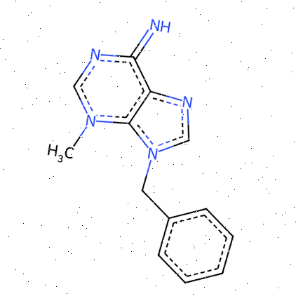 Cn1cnc(=N)c2ncn(Cc3ccccc3)c21